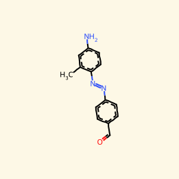 Cc1cc(N)ccc1/N=N/c1ccc(C=O)cc1